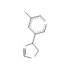 Clc1cncc(C2CO[C]=N2)c1